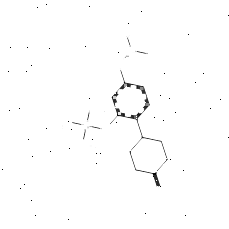 C=C1CCC(c2ccc(O[SiH](C)C)cc2O[Si](C)(C)C(C)(C)C)CC1